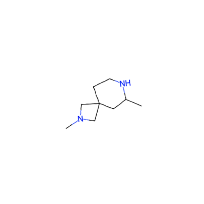 CC1CC2(CCN1)CN(C)C2